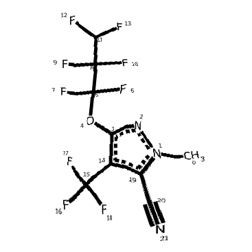 Cn1nc(OC(F)(F)C(F)(F)C(F)F)c(C(F)(F)F)c1C#N